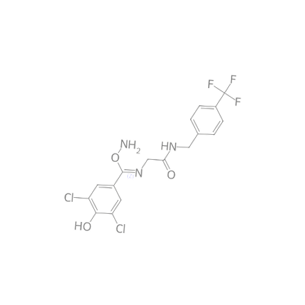 NO/C(=N\CC(=O)NCc1ccc(C(F)(F)F)cc1)c1cc(Cl)c(O)c(Cl)c1